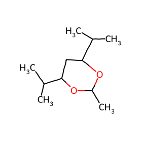 CC1OC(C(C)C)CC(C(C)C)O1